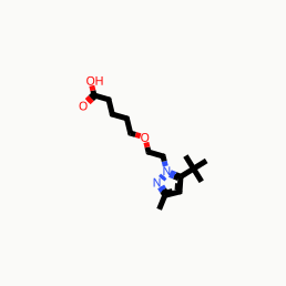 Cc1cc(C(C)(C)C)n(CCOCCCCC(=O)O)n1